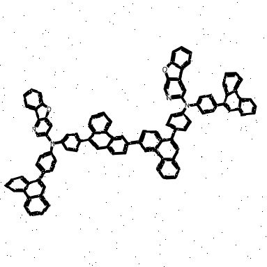 c1ccc2c(c1)cc(-c1ccc(N(c3ccc(-c4cc5ccc(-c6ccc7c(-c8ccc(N(c9ccc(-c%10cc%11ccccc%11c%11ccccc%10%11)cc9)c9cc%10c(cn9)oc9ccccc9%10)cc8)cc8ccccc8c7c6)cc5c5ccccc45)cc3)c3cnc4c(c3)oc3ccccc34)cc1)c1ccccc12